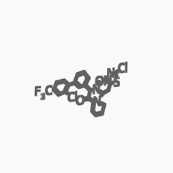 O=C1C2=CC=CCN2C(Cc2cnc(Cl)s2)N(O)C1c1cccc(-c2ccc(C(F)(F)F)cc2Cl)c1